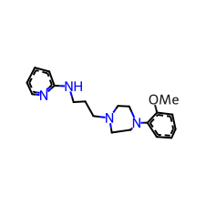 COc1ccccc1N1CCN(CCCNc2ccccn2)CC1